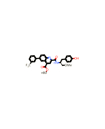 CCCCOC(=O)c1cc(C(=O)N[C@H](COC)Cc2ccc(O)cc2)nc2ccc(-c3cccc(C(F)(F)F)c3)cc12